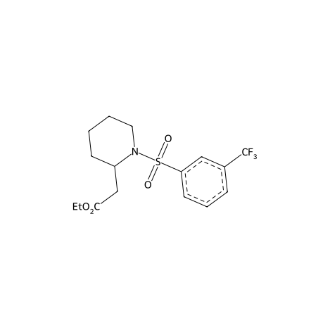 CCOC(=O)CC1CCCCN1S(=O)(=O)c1cccc(C(F)(F)F)c1